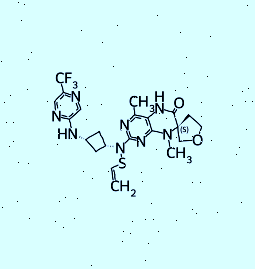 C=CSN(c1nc(C)c2c(n1)N(C)[C@]1(CCOC1)C(=O)N2)[C@H]1C[C@@H](Nc2cnc(C(F)(F)F)cn2)C1